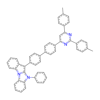 Cc1ccc(-c2cc(-c3ccc(-c4ccc(-c5c6ccccc6n6c7ccccc7n(-c7ccccc7)c56)cc4)cc3)nc(-c3ccc(C)cc3)n2)cc1